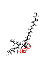 CCCCCCCCCCCCCCCCC(C)(CC(CCCC)CCCCCCC)C(=O)O